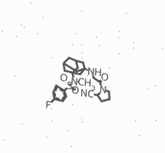 CN(C12CC3CC(CC(NCC(=O)N4CCCC4C#N)(C3)C1)C2)S(=O)(=O)c1ccc(F)cc1